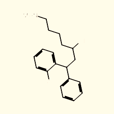 CNCCCCC(C)CC(c1ccccc1)c1ccccc1O